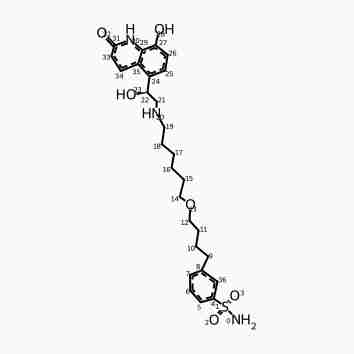 NS(=O)(=O)c1cccc(CCCCOCCCCCCNC[C@@H](O)c2ccc(O)c3[nH]c(=O)ccc23)c1